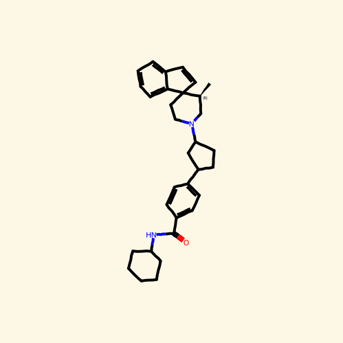 C[C@H]1CN(C2CCC(c3ccc(C(=O)NC4CCCCC4)cc3)C2)CCC12C=Cc1ccccc12